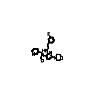 O=CN(Cc1cccnc1)c1ccc(N2CCOCC2)nc1NCCc1cccc(F)c1